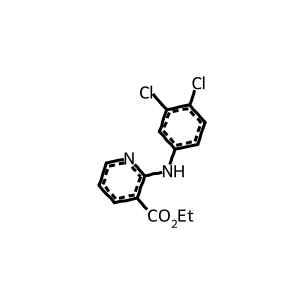 CCOC(=O)c1cccnc1Nc1ccc(Cl)c(Cl)c1